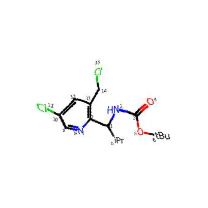 CC(C)C(NC(=O)OC(C)(C)C)c1ncc(Cl)cc1CCl